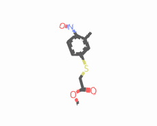 COC(=O)CSc1ccc(N=O)c(C)c1